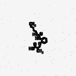 CCCCCNC(=O)Nc1ccccc1OCC(C)C(=O)O